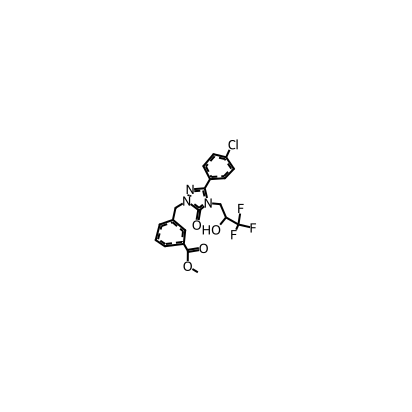 COC(=O)c1cccc(Cn2nc(-c3ccc(Cl)cc3)n(CC(O)C(F)(F)F)c2=O)c1